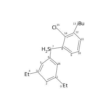 CCc1cc(CC)cc([SiH2]c2cccc(C(C)CC)c2Cl)c1